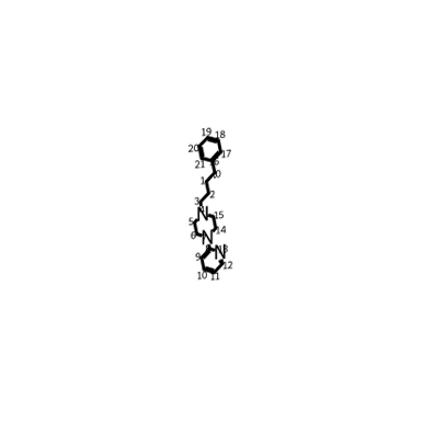 [CH](CCCN1CCN(c2ccccn2)CC1)c1ccccc1